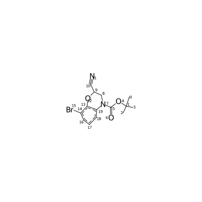 CC(C)(C)OC(=O)N1CC(C#N)Oc2c(Br)cccc21